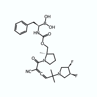 CC(C)(C=C=C(C#N)C(=O)N1CCC[C@]1(C)COC(=O)N[C@@H](Cc1ccccc1)B(O)O)N1C[C@@H](F)[C@@H](F)C1